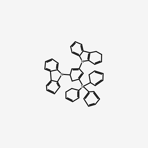 C1=CCCC([Si](C2=CC(n3c4c(c5ccccc53)CCC=C4)=CC(n3c4ccccc4c4ccccc43)C2)(c2ccccc2)C2C=CC=CC2)=C1